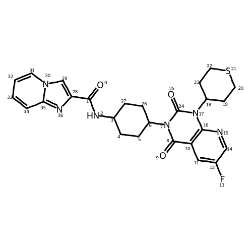 O=C(NC1CCC(n2c(=O)c3cc(F)cnc3n(C3CCSCC3)c2=O)CC1)c1cn2ccccc2n1